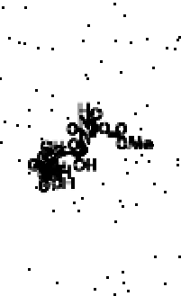 COC(=O)COc1cn([C@H]2C[C@@H](O)[C@@H](COP(=O)(O)OP(=O)(O)OP(=O)(O)O)O2)c(=O)[nH]c1=O